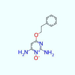 Nc1cc(OCCc2ccccc2)nc(N)[n+]1[O-]